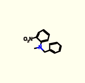 CN(Cc1ccccc1)c1ccccc1[N+](=O)[O-]